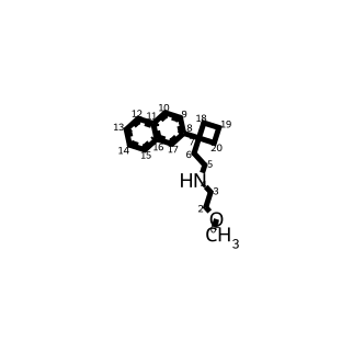 COCCNCCC1(c2ccc3ccccc3c2)CCC1